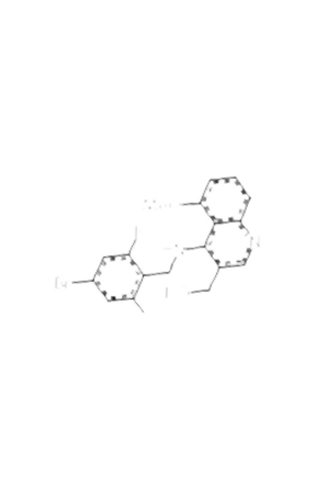 COc1cccc2ncc(CO)c(NCc3c(F)cc(Br)cc3F)c12